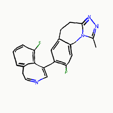 Cc1nnc2n1-c1cc(F)c(-c3cncc4cccc(F)c34)cc1CC2